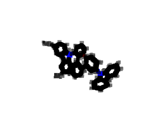 N#Cc1ccc2c(c1)c1cc(C#N)ccc1n2-c1ccccc1-c1ccccc1-c1cc(-n2c3ccccc3c3ccccc32)ccc1C#N